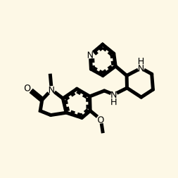 COc1cc2c(cc1CNC1CCCNC1c1ccncc1)N(C)C(=O)CC2